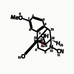 COc1ccc2c(c1)[C@]13CCN(C#N)[C@H](C2)C1(O)CCC(=O)C3